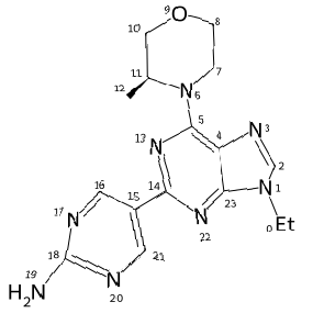 CCn1cnc2c(N3CCOC[C@@H]3C)nc(-c3cnc(N)nc3)nc21